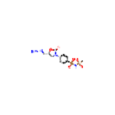 CS(=O)(=O)NS(=O)(=O)c1ccc(N2C[C@H](CN=[N+]=[N-])OC2=O)cc1